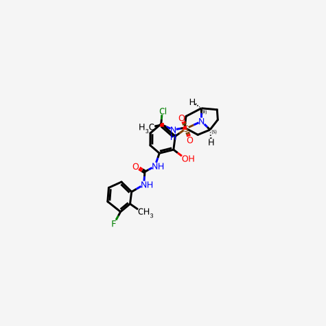 CCNC1C[C@H]2CC[C@@H](C1)N2S(=O)(=O)c1c(Cl)ccc(NC(=O)Nc2cccc(F)c2C)c1O